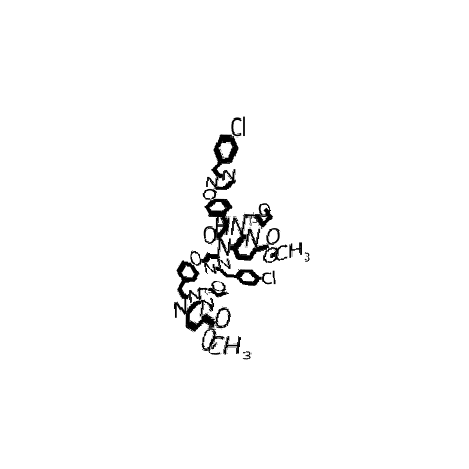 COC(=O)c1ccc(N(C(=O)Cc2ccc(Oc3ccnc(Cc4ccc(Cl)cc4)n3)cc2)c2cc(Oc3ccc(Cc4nc5ccc(C(=O)OC)nc5n4C[C@@H]4CCO4)cc3)nc(Cc3ccc(Cl)cc3)n2)c(NC[C@@H]2CCO2)n1